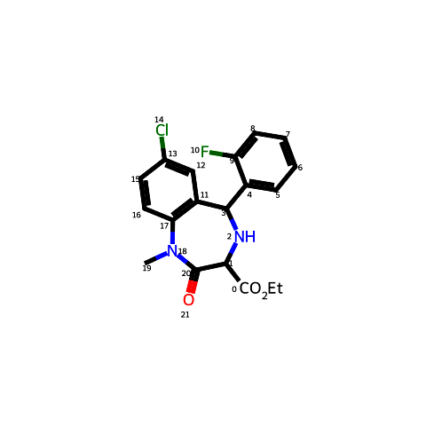 CCOC(=O)C1NC(c2ccccc2F)c2cc(Cl)ccc2N(C)C1=O